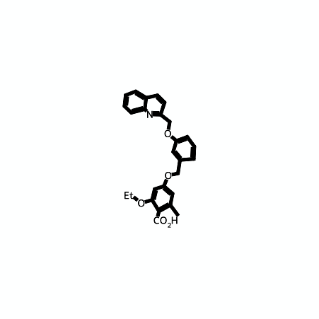 CCOc1cc(OCc2cccc(OCc3ccc4ccccc4n3)c2)cc(C)c1C(=O)O